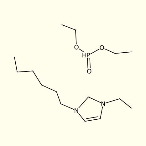 CCCCCCN1C=CN(CC)C1.CCO[PH](=O)OCC